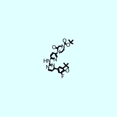 CC(C)(C)OC(=O)N1CCN(c2ccc(Nc3nccc(-c4cc(F)c5c(c4)C(C)(C)CO5)n3)nc2)C(=O)C1